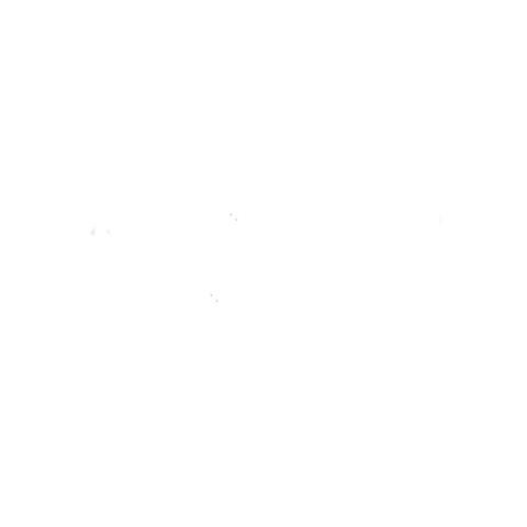 CCCCCc1ccc(C(=O)N(Cc2cccc(C#CCCO)c2)C2CCN(CCC(C)C)CC2)cc1